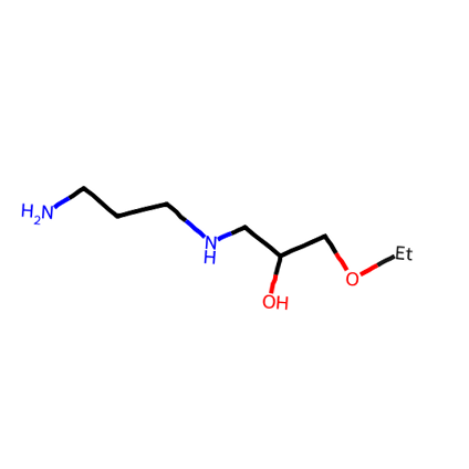 CCOCC(O)CNCCCN